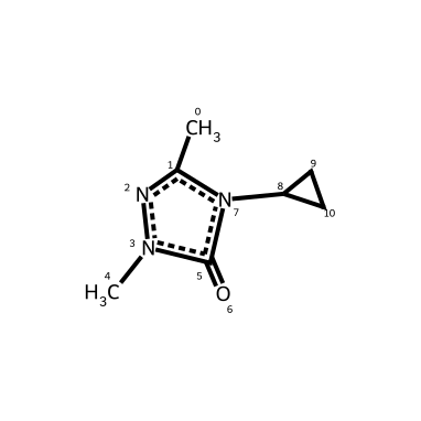 Cc1nn(C)c(=O)n1C1CC1